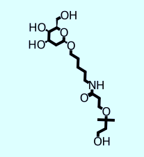 CC(C)(CCO)OCCC(=O)NCCCCCO[C@H]1C[C@@H](O)[C@@H](O)[C@@H](CO)O1